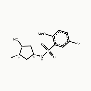 COc1ccc(Br)cc1S(=O)(=O)N[C@@H]1C[C@H](C)N(C#N)C1